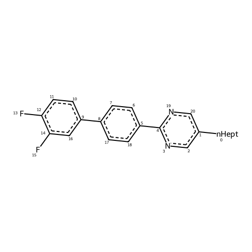 CCCCCCCc1cnc(-c2ccc(-c3ccc(F)c(F)c3)cc2)nc1